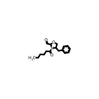 CCCCCC(=O)N1C(Cc2ccccc2)COC1C=O